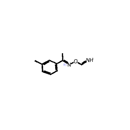 C/C(=N\OC=N)c1cccc(C)c1